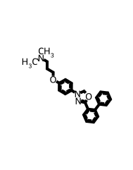 CN(C)CCCOc1ccc(N2COC(c3ccccc3-c3ccccc3)=N2)cc1